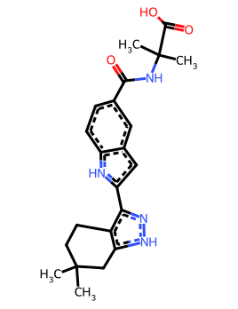 CC1(C)CCc2c(-c3cc4cc(C(=O)NC(C)(C)C(=O)O)ccc4[nH]3)n[nH]c2C1